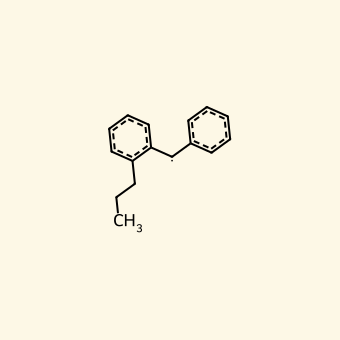 CCCc1ccccc1[CH]c1ccccc1